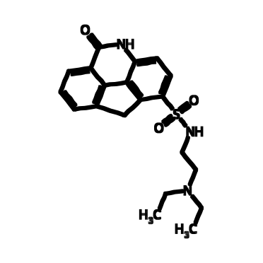 CCN(CC)CCNS(=O)(=O)c1ccc2[nH]c(=O)c3cccc4c3c2c1C4